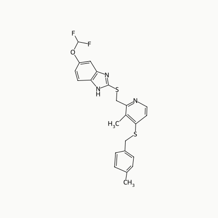 Cc1ccc(CSc2ccnc(CSc3nc4cc(OC(F)F)ccc4[nH]3)c2C)cc1